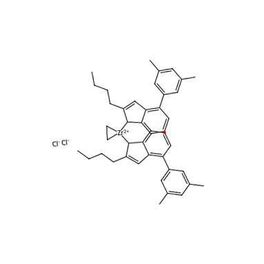 CCCCC1=Cc2c(-c3cc(C)cc(C)c3)cccc2[CH]1[Zr+2]1([CH]2C(CCCC)=Cc3c(-c4cc(C)cc(C)c4)cccc32)[CH2][CH2]1.[Cl-].[Cl-]